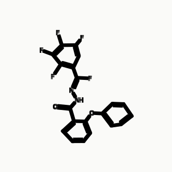 O=C(NN=C(F)c1cc(F)c(F)c(F)c1F)c1ccccc1Oc1ccccc1